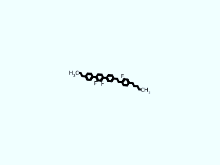 CCCCCc1ccc(CCc2ccc(-c3ccc(-c4ccc(CCC)cc4)c(F)c3F)cc2)c(F)c1